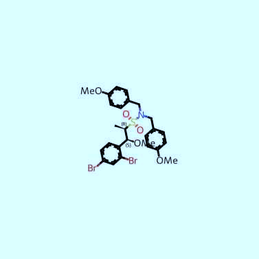 COc1ccc(CN(Cc2ccc(OC)cc2)S(=O)(=O)[C@H](C)[C@@H](OC)c2ccc(Br)cc2Br)cc1